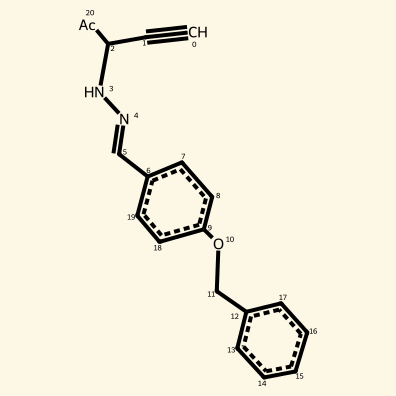 C#CC(NN=Cc1ccc(OCc2ccccc2)cc1)C(C)=O